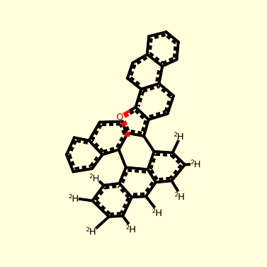 [2H]c1c([2H])c([2H])c2c(-c3cccc4ccccc34)c3c(-c4coc5c4ccc4c6ccccc6ccc45)c([2H])c([2H])c([2H])c3c([2H])c2c1[2H]